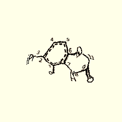 Cc1c(C(C)C)ccc2c1NC(=O)CO2